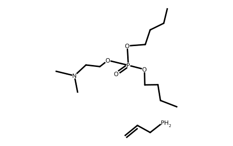 C=CCP.CCCCOP(=O)(OCCCC)OCCN(C)C